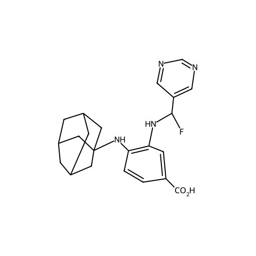 O=C(O)c1ccc(NC23CC4CC(CC(C4)C2)C3)c(NC(F)c2cncnc2)c1